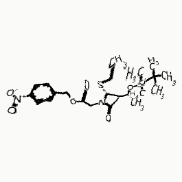 CCS[C@@H]1[C@@H]([C@@H](C)O[Si](C)(C)C(C)(C)C)C(=O)N1CC(=O)OCc1ccc([N+](=O)[O-])cc1